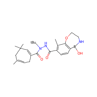 CC1=CCC(C(=O)N(NC(=O)c2ccc3c(c2C)OCCNB3O)C(C)(C)C)=CC(C)(C)C1